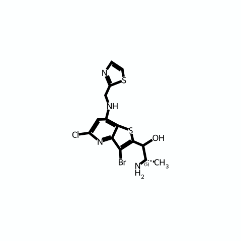 C[C@H](N)C(O)c1sc2c(NCc3nccs3)cc(Cl)nc2c1Br